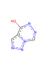 Oc1nncn2nncc12